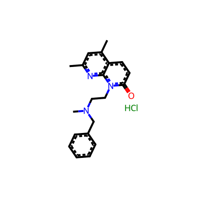 Cc1cc(C)c2ccc(=O)n(CCN(C)Cc3ccccc3)c2n1.Cl